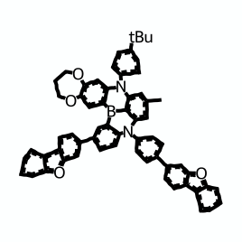 Cc1cc2c3c(c1)N(c1ccc(C(C)(C)C)cc1)c1cc4c(cc1B3c1cc(-c3ccc5c(c3)oc3ccccc35)ccc1N2c1ccc(-c2ccc3c(c2)oc2ccccc23)cc1)OCCCO4